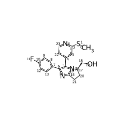 CSc1cc(-c2c(-c3ccc(F)cc3)nc3n2[C@@H](CO)CC3)ccn1